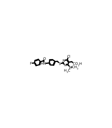 CN(C)c1nc(SCc2ccc(NC(=O)c3ccc(F)cc3)cc2)nc(Cl)c1CC(=O)O